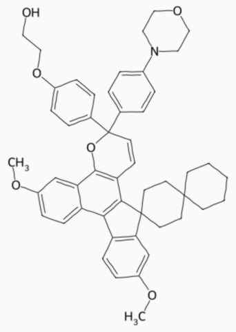 COc1ccc2c(c1)C1(CCC3(CCCCC3)CC1)c1c3c(c4cc(OC)ccc4c1-2)OC(c1ccc(OCCO)cc1)(c1ccc(N2CCOCC2)cc1)C=C3